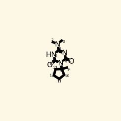 CN(C)c1nc(=O)n(C2(C)CCCC2)c(=O)[nH]1